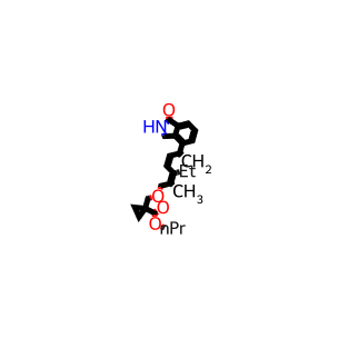 C=C(/C=C\C(CC)=C(\C)COCC1(C(=O)OCCC)CC1)c1cccc2c1CNC2=O